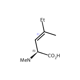 CC/C(C)=C/[C@H](NC)C(=O)O